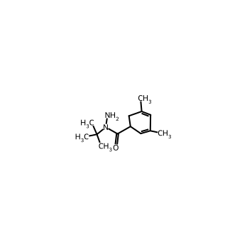 CC1=CC(C(=O)N(N)C(C)(C)C)CC(C)=C1